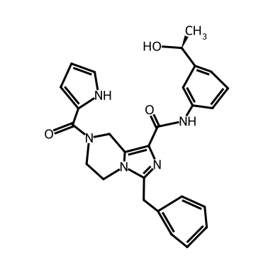 C[C@H](O)c1cccc(NC(=O)c2nc(Cc3ccccc3)n3c2CN(C(=O)c2ccc[nH]2)CC3)c1